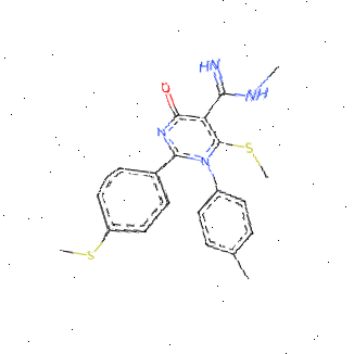 CNC(=N)c1c(SC)n(-c2ccc(C)cc2)c(-c2ccc(SC)cc2)nc1=O